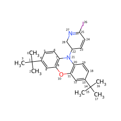 CC(C)(C)c1ccc2c(c1)Oc1cc(C(C)(C)C)ccc1N2C1C=CC(I)=NC1